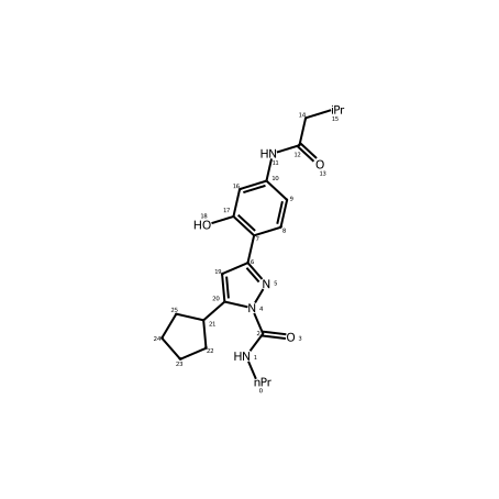 CCCNC(=O)n1nc(-c2ccc(NC(=O)CC(C)C)cc2O)cc1C1CCCC1